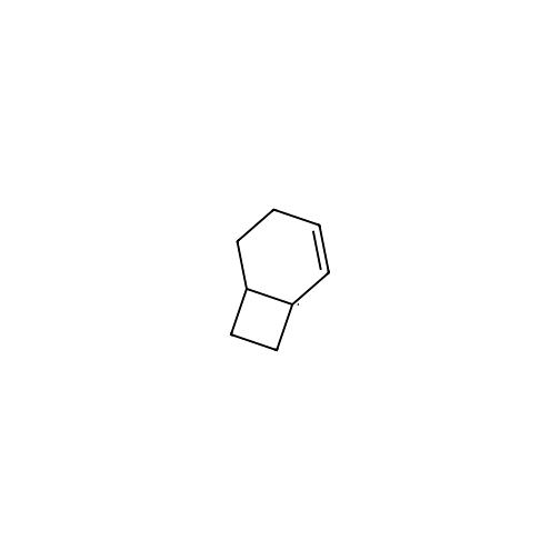 C1=C[C]2CCC2CC1